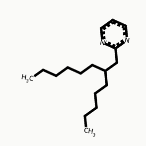 CCCCCCC(CCCCC)Cc1ncccn1